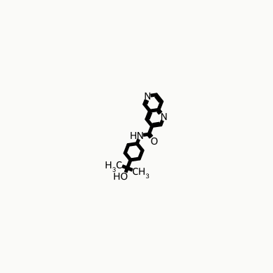 CC(C)(O)C1CCC(NC(=O)c2cnc3ccncc3c2)CC1